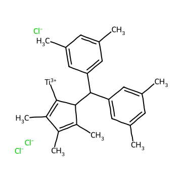 CC1=C(C)C(C(c2cc(C)cc(C)c2)c2cc(C)cc(C)c2)[C]([Ti+3])=C1C.[Cl-].[Cl-].[Cl-]